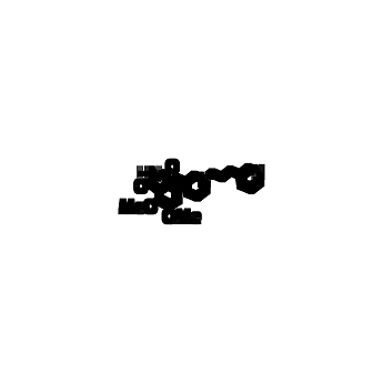 COC1=C(OC)C2C(=O)NC(=O)C2(CC2CCCN(CCCc3cccnc3)C2)C=C1